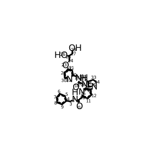 O=C(NCc1ccccc1)c1ccc2c(n1)N(C(=O)Nc1cc(OCC(O)CO)ccn1)[C@H]1CCN2C1